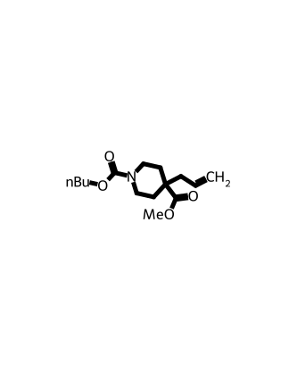 C=CCC1(C(=O)OC)CCN(C(=O)OCCCC)CC1